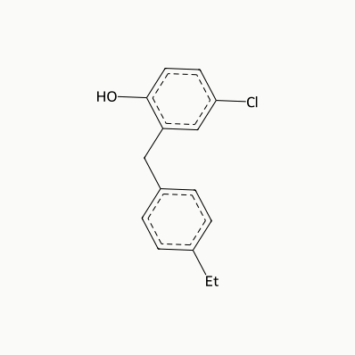 CCc1ccc(Cc2cc(Cl)ccc2O)cc1